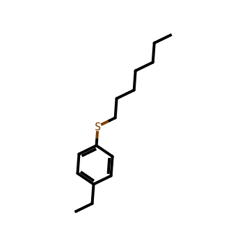 CCCCCCCSc1ccc(CC)cc1